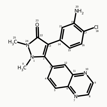 Cn1c(-c2ccc3nccnc3c2)c(-c2ccc(Cl)c(N)c2)c(=O)n1C